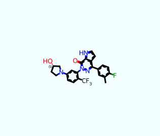 Cc1cc(-c2nn(-c3cc(N4CC[C@H](O)C4)ccc3C(F)(F)F)c(=O)c3[nH]ccc23)ccc1F